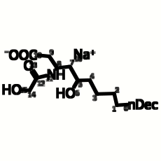 CCCCCCCCCCCCCCC(O)CC(CC(=O)[O-])NC(=O)CO.[Na+]